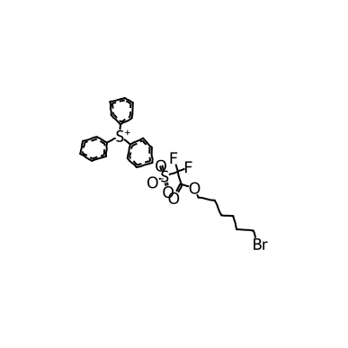 O=C(OCCCCCCBr)C(F)(F)S(=O)(=O)[O-].c1ccc([S+](c2ccccc2)c2ccccc2)cc1